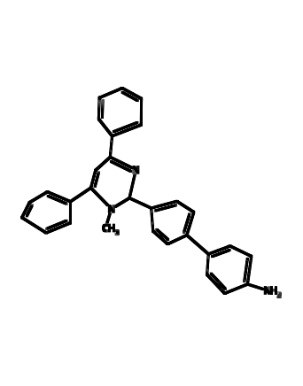 CN1C(c2ccccc2)=CC(c2ccccc2)=NC1c1ccc(-c2ccc(N)cc2)cc1